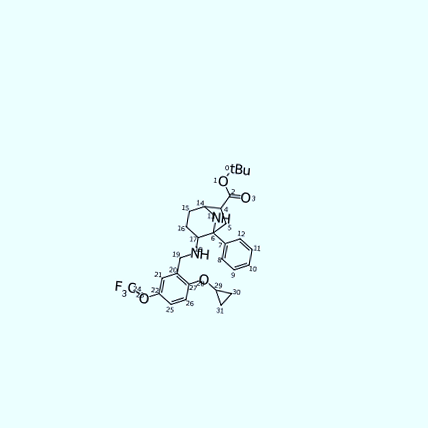 CC(C)(C)OC(=O)C1CC2(c3ccccc3)NC1CCC2NCc1cc(OC(F)(F)F)ccc1OC1CC1